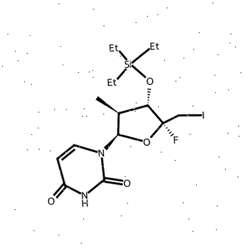 CC[Si](CC)(CC)O[C@H]1[C@H](C)[C@H](n2ccc(=O)[nH]c2=O)O[C@]1(F)CI